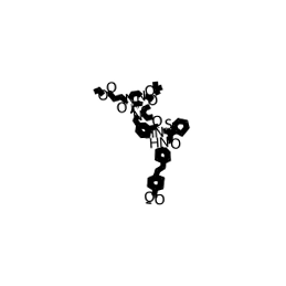 CCOC(=O)CCC(=O)N1CCN(C(=O)OC(C)(C)C)C[C@H]1CN(Cc1cccc(C(=O)Nc2sc3c(c2C(=O)Nc2ccc(CCc4ccc(C(=O)OC)cc4)cc2)CCCC3)c1)C(CC)CC